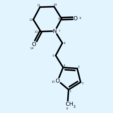 Cc1ccc(CCN2C(=O)CCCC2=O)o1